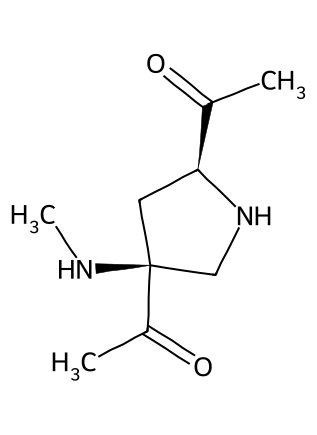 CN[C@]1(C(C)=O)CN[C@H](C(C)=O)C1